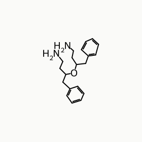 NCCC(Cc1ccccc1)OC(CCN)Cc1ccccc1